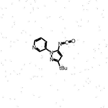 CC(C)(C)c1cc(N=C=O)n(-c2cccnc2)n1